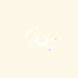 CC12C=CC(C)(O1)c1cc(N)c(N)cc12